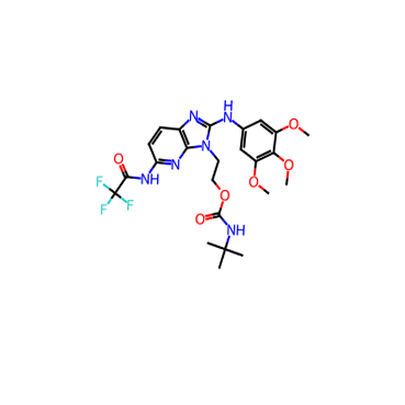 COc1cc(Nc2nc3ccc(NC(=O)C(F)(F)F)nc3n2CCOC(=O)NC(C)(C)C)cc(OC)c1OC